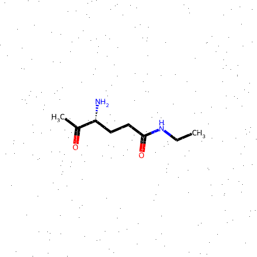 CCNC(=O)CC[C@@H](N)C(C)=O